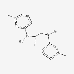 CCN(CC(C)N(CC)c1cccc(C)c1)c1cccc(C)c1